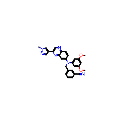 COc1cc(OC)cc(N(Cc2cccc(C#N)c2)c2ccc3ncc(-c4cnn(C)c4)nc3c2)c1